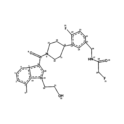 Cc1cccc2c(C(=O)N3CCC(c4cc(CNC(=O)CF)ccc4F)CC3)cn(CCO)c12